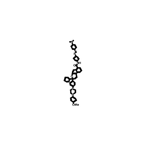 COc1ccc(N2CCN(c3ccc(C4(c5ccccc5)C=Cc5c(ccc6c(C(=O)Nc7ccc(N=Nc8ccc(N(C)C)cc8)cc7)cccc56)O4)cc3)CC2)cc1